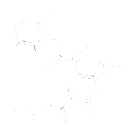 CCOC(=O)c1cc(N(S)C(=O)Nc2c(Cl)cccc2Cl)c(NC)cc1F